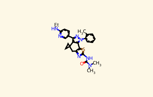 CCNc1ccc(-c2nn(-c3ccccc3C)c3c2C2(CC2)Cc2nc(NC(=O)N(C)C)sc2-3)cn1